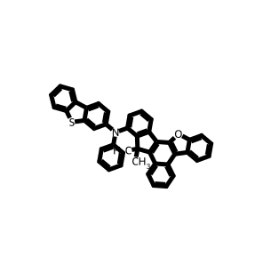 CC1(C)c2c(cccc2N(c2ccccc2)c2ccc3c(c2)sc2ccccc23)-c2c1c1ccccc1c1c2oc2ccccc21